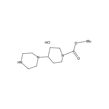 CC(C)(C)OC(=O)N1CCC(N2CCNCC2)CC1.Cl